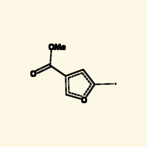 [CH2]c1cc(C(=O)OC)co1